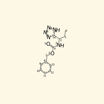 CCC(NC(=O)OCc1ccccc1)c1nnn[nH]1